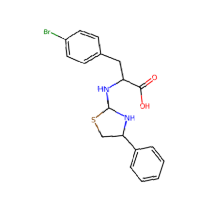 O=C(O)C(Cc1ccc(Br)cc1)NC1NC(c2ccccc2)CS1